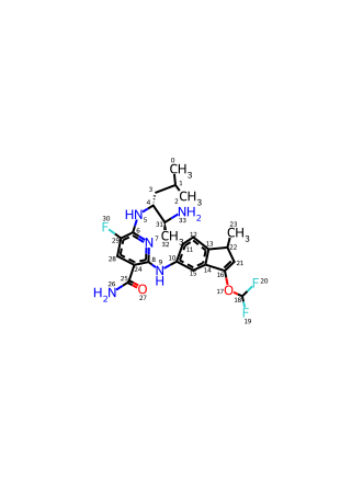 CC(C)C[C@@H](Nc1nc(Nc2ccc3c(c2)C(OC(F)F)=CC3C)c(C(N)=O)cc1F)[C@H](C)N